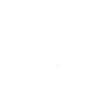 Cc1cc(C(O)(CCN)COCc2cc(C(F)(F)F)cc(C(F)(F)F)c2)ccc1F